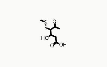 CSSC(C(C)=O)C(O)CC(=O)O